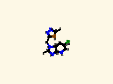 Cc1nnc(Cn2c(C)nc3ncc(Br)cc32)s1